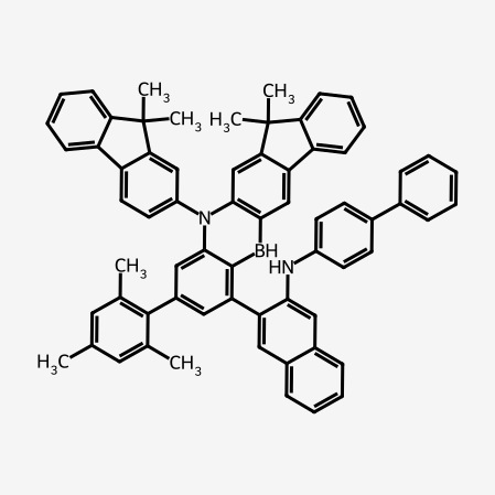 Cc1cc(C)c(-c2cc(-c3cc4ccccc4cc3Nc3ccc(-c4ccccc4)cc3)c3c(c2)N(c2ccc4c(c2)C(C)(C)c2ccccc2-4)c2cc4c(cc2B3)-c2ccccc2C4(C)C)c(C)c1